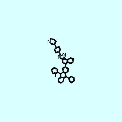 Cc1ccccc1C1C2=CC=CCC2=C(c2ccccc2)c2ccc(-c3cc4nn(-c5ccc(-c6cccnc6)cc5)nc4c4ccccc34)cc21